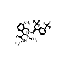 CNC(=O)C(NOC)c1cccc(C)c1CO/N=C(\CC(F)(F)F)c1cccc(C(F)(F)F)c1